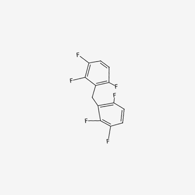 Fc1ccc(F)c(Cc2c(F)ccc(F)c2F)c1F